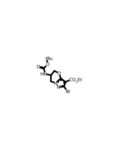 CCOC(=O)c1c(Br)nn2c1OCC(NC(=O)OC(C)(C)C)C2